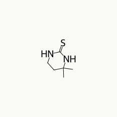 CC1(C)CCNC(=S)N1